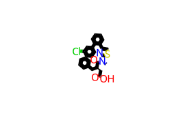 CN(C(=O)[C@@H](CC(=O)O)Cc1ccccc1)c1nc(-c2ccccc2-c2cccc(Cl)c2)cs1